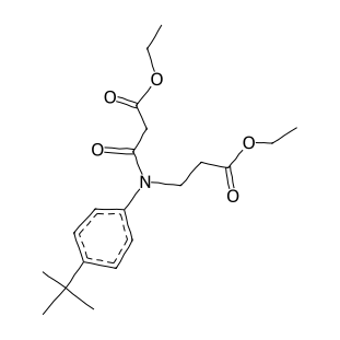 CCOC(=O)CCN(C(=O)CC(=O)OCC)c1ccc(C(C)(C)C)cc1